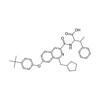 CC(c1ccccc1)C(NC(=O)c1cc2ccc(Oc3ccc(C(C)(C)C)cc3)cc2c(CC2CCCC2)n1)C(=O)O